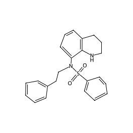 O=S(=O)(c1ccccc1)N(CCc1ccccc1)c1cccc2c1NCCC2